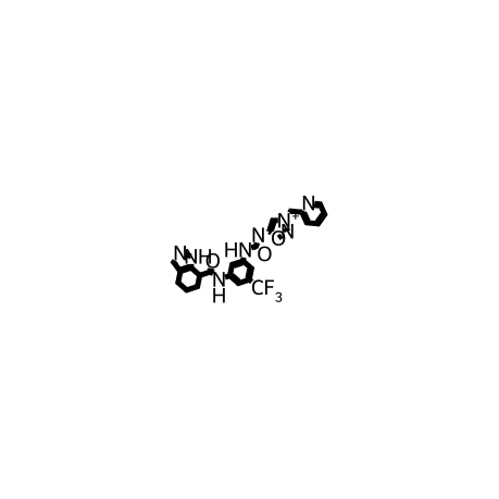 O=C([N-]c1c[n+](Cc2ccccn2)no1)Nc1cc(NC(=O)C2CCCc3cn[nH]c32)cc(C(F)(F)F)c1